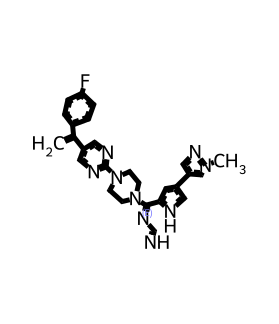 C=C(c1ccc(F)cc1)c1cnc(N2CCN(/C(=N/C=N)c3cc(-c4cnn(C)c4)c[nH]3)CC2)nc1